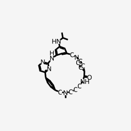 CC(C)Nc1cc2cc(c1)Nc1nccc(n1)-c1ccc(cc1)CN(C)CCCNC(=O)C1CCN(CC1)C2